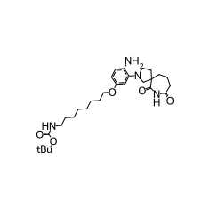 CC(C)(C)OC(=O)NCCCCCCCCOc1ccc(N)c(N2CCC3(CCCC(=O)NC3=O)C2)c1